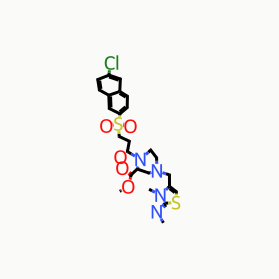 C/N=c1\scc(CN2CCN(C(=O)CCS(=O)(=O)c3ccc4cc(Cl)ccc4c3)C(C(=O)OC)C2)n1C